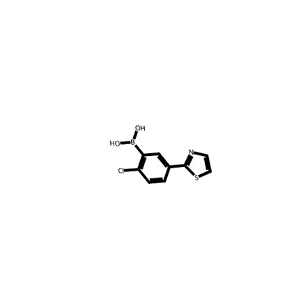 OB(O)c1cc(-c2nccs2)ccc1Cl